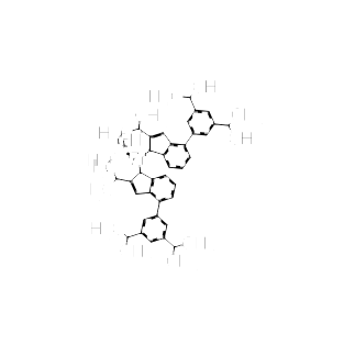 CC(C)C1=Cc2c(-c3cc(C(C)C)cc(C(C)C)c3)cccc2[CH]1[Zr]([CH]1C(C(C)C)=Cc2c(-c3cc(C(C)C)cc(C(C)C)c3)cccc21)=[Si](C)C